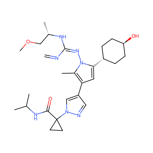 C=N/C(=N\n1c(C)c(-c2cnn(C3(C(=O)NC(C)C)CC3)c2)cc1[C@H]1CC[C@H](O)CC1)N[C@@H](C)COC